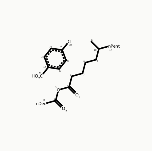 CCCCCCCCCCC(=O)OC(=O)CCCCC(C)CCCCC.O=C(O)c1ccc(Cl)cc1